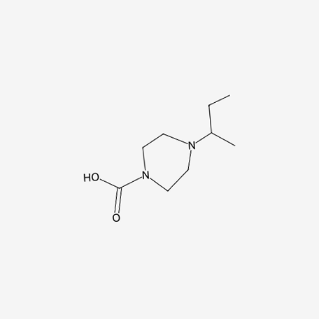 CCC(C)N1CCN(C(=O)O)CC1